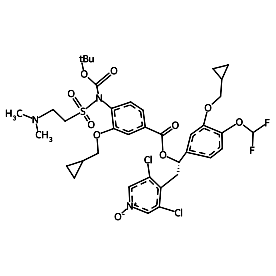 CN(C)CCS(=O)(=O)N(C(=O)OC(C)(C)C)c1ccc(C(=O)O[C@@H](Cc2c(Cl)c[n+]([O-])cc2Cl)c2ccc(OC(F)F)c(OCC3CC3)c2)cc1OCC1CC1